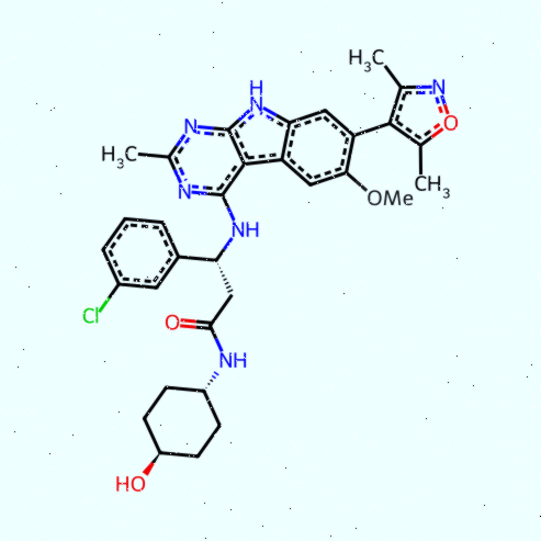 COc1cc2c(cc1-c1c(C)noc1C)[nH]c1nc(C)nc(N[C@H](CC(=O)N[C@H]3CC[C@H](O)CC3)c3cccc(Cl)c3)c12